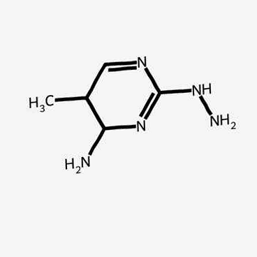 CC1C=NC(NN)=NC1N